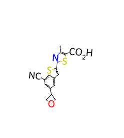 Cc1nc(-c2cc3cc(C4COC4)cc(C#N)c3s2)sc1C(=O)O